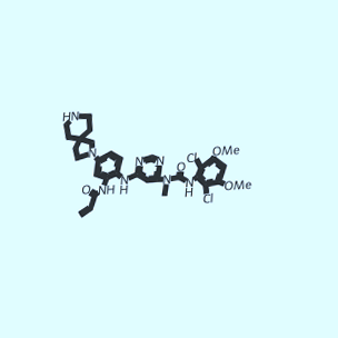 C=CC(=O)Nc1cc(N2CCC3(CCNCC3)C2)ccc1Nc1cc(N(C)C(=O)Nc2c(Cl)c(OC)cc(OC)c2Cl)ncn1